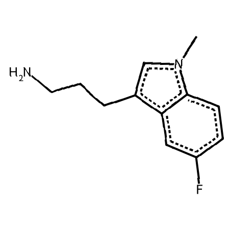 Cn1cc(CCCN)c2cc(F)ccc21